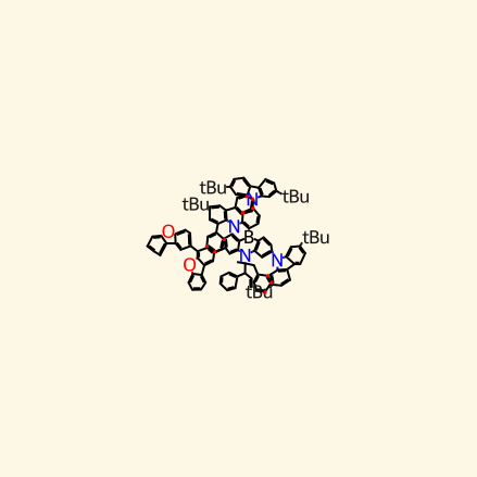 C=CC(c1ccccc1)C(C)(Cc1ccccc1)N1c2cc(-n3c4cc(C(C)(C)C)ccc4c4ccc(C(C)(C)C)cc43)ccc2B2c3ccc(-n4c5cc(C(C)(C)C)ccc5c5ccc(C(C)(C)C)cc54)cc3N(c3c(-c4ccccc4)cc(C(C)(C)C)cc3-c3ccccc3)c3cc(-c4cc(-c5ccc6oc7ccccc7c6c5)c5oc6ccccc6c5c4)cc1c32